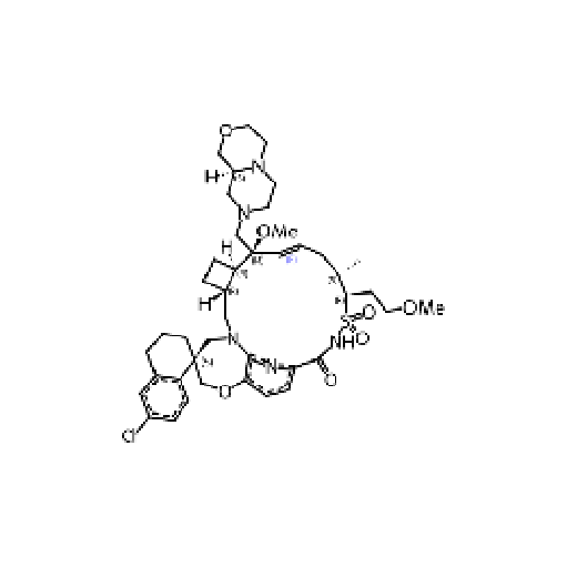 COCC[C@@H]1[C@@H](C)C/C=C/[C@](CN2CCN3CCOC[C@@H]3C2)(OC)[C@@H]2CC[C@H]2CN2C[C@@]3(CCCc4cc(Cl)ccc43)COc3ccc(nc32)C(=O)NS1(=O)=O